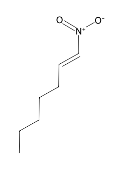 CCCCCC=C[N+](=O)[O-]